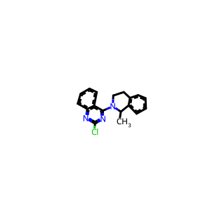 CC1c2ccccc2CCN1c1nc(Cl)nc2ccccc12